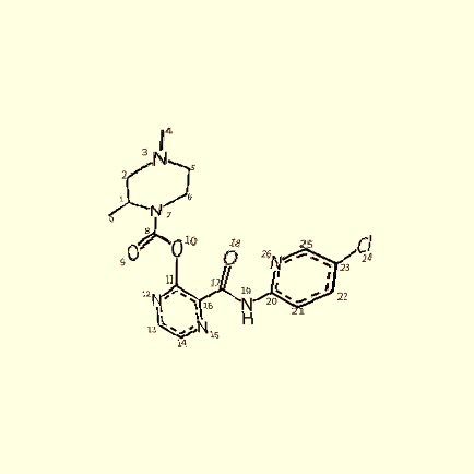 CC1CN(C)CCN1C(=O)Oc1nccnc1C(=O)Nc1ccc(Cl)cn1